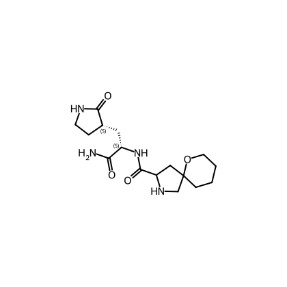 NC(=O)[C@H](C[C@@H]1CCNC1=O)NC(=O)C1CC2(CCCCO2)CN1